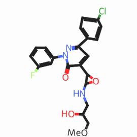 COCC(O)CNC1OC1c1cc(-c2ccc(Cl)cc2)nn(-c2cccc(F)c2)c1=O